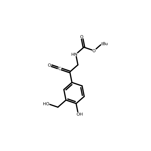 CC(C)(C)OC(=O)NCC(=C=O)c1ccc(O)c(CO)c1